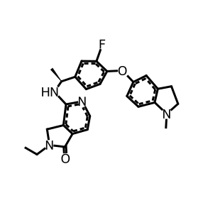 CCN1Cc2c(ccnc2N[C@@H](C)c2ccc(Oc3ccc4c(c3)CCN4C)c(F)c2)C1=O